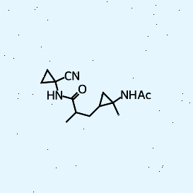 CC(=O)NC1(C)CC1CC(C)C(=O)NC1(C#N)CC1